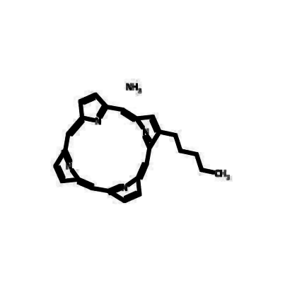 CCCCCC1=CC2=CC3=NC(=CC4=NC(=CC5=NC(=CC1=N2)C=C5)C=C4)C=C3.N